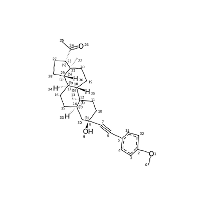 COc1ccc(C#C[C@@]2(O)CC[C@@]3(C)[C@H](CC[C@@H]4[C@@H]3CC[C@]3(C)[C@@H](C(C)=O)CC[C@@H]43)C2)cc1